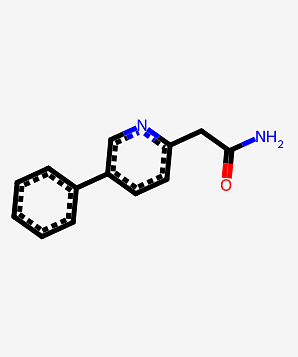 NC(=O)Cc1ccc(-c2ccccc2)cn1